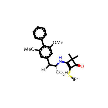 CCC(c1cc(OC)c(-c2ccccc2)c(OC)c1)[C@H](NC1=C(SC(C)C)C(=O)C1(C)C)C(=O)O